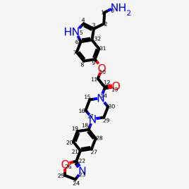 NCCc1c[nH]c2ccc(OCC(=O)N3CCN(c4ccc(C5=NCCO5)cc4)CC3)cc12